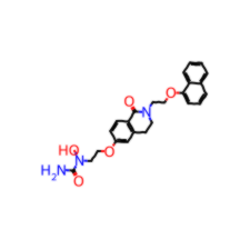 NC(=O)N(O)CCOc1ccc2c(c1)CCN(CCOc1cccc3ccccc13)C2=O